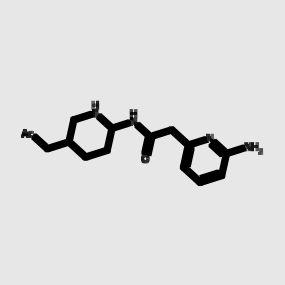 CC(=O)CC1CBC(NC(=O)Cc2cccc(N)n2)CC1